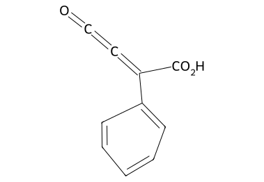 O=C=C=C(C(=O)O)c1ccccc1